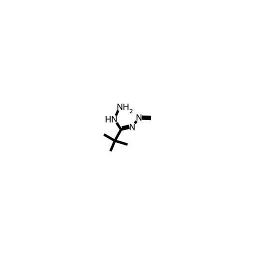 C=N/N=C(\NN)C(C)(C)C